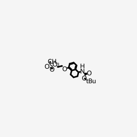 CC(C)(C)OC(=O)NC1CCCc2c(OCCOS(C)(=O)=O)cccc21